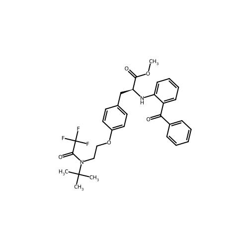 COC(=O)[C@H](Cc1ccc(OCCN(C(=O)C(F)(F)F)C(C)(C)C)cc1)Nc1ccccc1C(=O)c1ccccc1